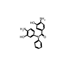 Nc1ccc(C(=O)N(c2ccccc2)c2ccc(N)c(O)c2)cc1O